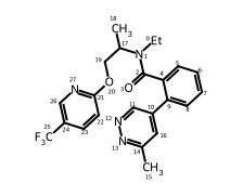 CCN(C(=O)c1ccccc1-c1cnnc(C)c1)C(C)COc1ccc(C(F)(F)F)cn1